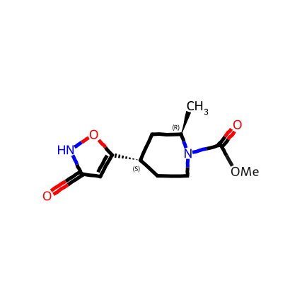 COC(=O)N1CC[C@H](c2cc(=O)[nH]o2)C[C@H]1C